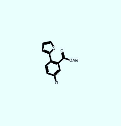 COC(=O)c1cc(Cl)ccc1-c1cccs1